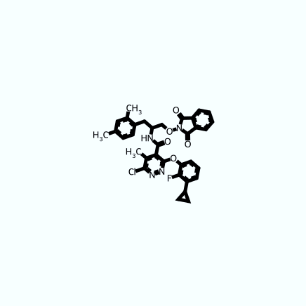 Cc1ccc(CC(CON2C(=O)c3ccccc3C2=O)NC(=O)c2c(Oc3cccc(C4CC4)c3F)nnc(Cl)c2C)c(C)c1